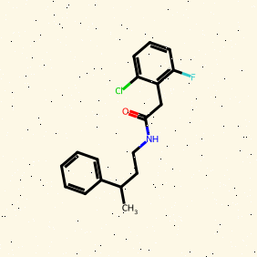 CC(CCNC(=O)Cc1c(F)cccc1Cl)c1ccccc1